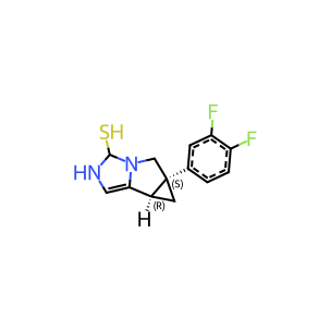 Fc1ccc([C@]23C[C@H]2C2=CNC(S)N2C3)cc1F